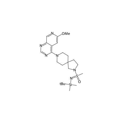 COc1cc2c(N3CCC4(CC3)CCN(S(C)(=O)=N[Si](C)(C)C(C)(C)C)C4)ncnc2cn1